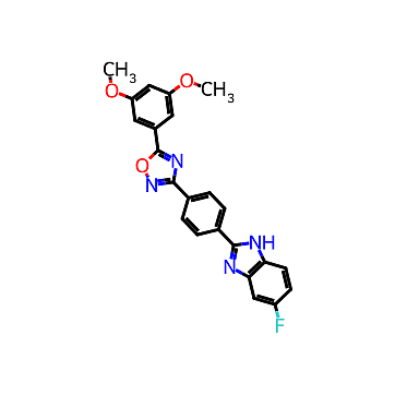 COc1cc(OC)cc(-c2nc(-c3ccc(-c4nc5cc(F)ccc5[nH]4)cc3)no2)c1